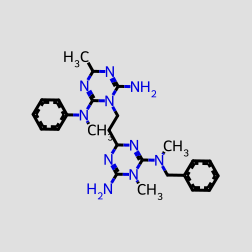 CC1N=C(N)N(CCC2N=C(N)N(C)C(N(C)Cc3ccccc3)=N2)C(N(C)c2ccccc2)=N1